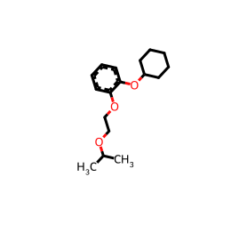 CC(C)OCCOc1ccccc1OC1CCCCC1